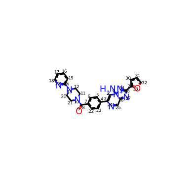 N[N+]12C=C(c3ccc(C(=O)N4CCN(c5ccccn5)CC4)cc3)N=CC1=NC(c1ccco1)=N2